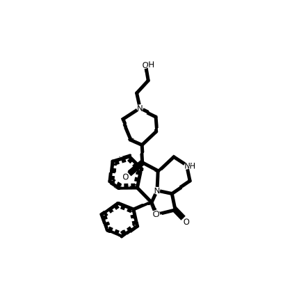 O=C1OC(c2ccccc2)(c2ccccc2)N2C1CNCC2C(=O)C1CCN(CCO)CC1